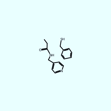 CCC(=O)NCc1ccncc1.SCc1ccccc1